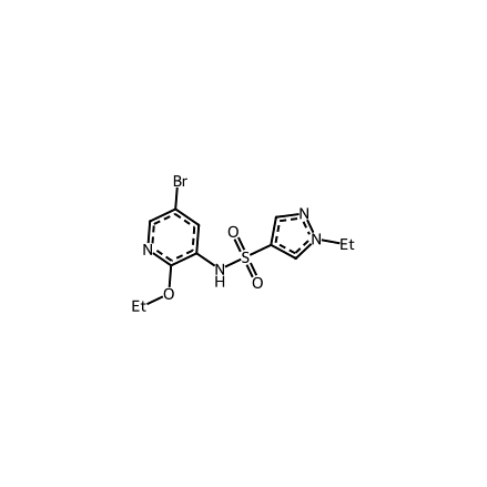 CCOc1ncc(Br)cc1NS(=O)(=O)c1cnn(CC)c1